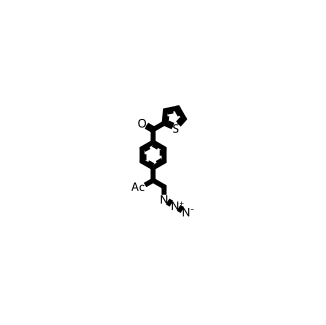 CC(=O)C(CN=[N+]=[N-])c1ccc(C(=O)c2cccs2)cc1